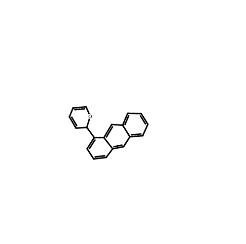 C1=CO[C](c2cccc3cc4ccccc4cc23)C=C1